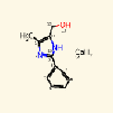 Cc1nc(-c2ccccc2)[nH]c1CO.[CaH2]